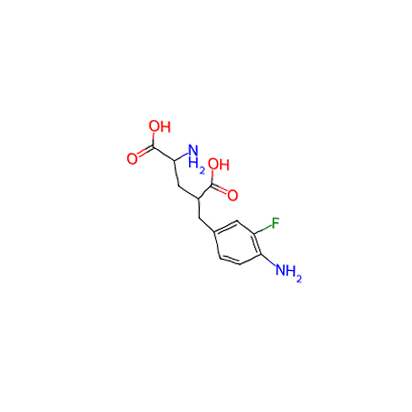 Nc1ccc(CC(CC(N)C(=O)O)C(=O)O)cc1F